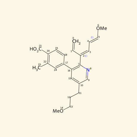 C=C/C(=C\C=C\OC)c1ncc(CCCOC)cc1-c1ccc(C(=O)O)c(C)c1